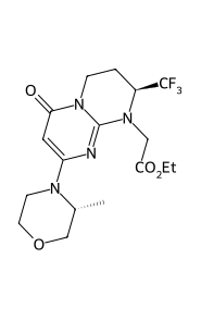 CCOC(=O)CN1c2nc(N3CCOC[C@H]3C)cc(=O)n2CC[C@H]1C(F)(F)F